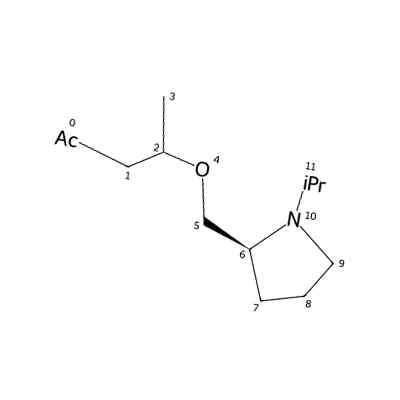 CC(=O)CC(C)OC[C@@H]1CCCN1C(C)C